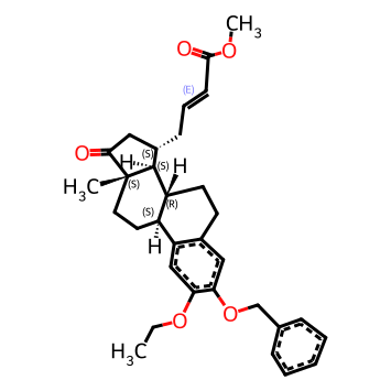 CCOc1cc2c(cc1OCc1ccccc1)CC[C@H]1[C@@H]3[C@@H](C/C=C/C(=O)OC)CC(=O)[C@@]3(C)CC[C@H]21